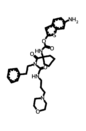 Nc1ccc2cc(OC(=O)NC3(C(=O)N(CCc4ccccc4)C(=O)NCCCN4CCOCC4)CCCC3)sc2c1